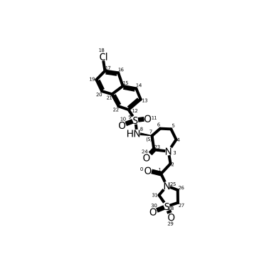 O=C(CN1CCC[C@H](NS(=O)(=O)c2ccc3cc(Cl)ccc3c2)C1=O)N1CCS(=O)(=O)C1